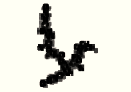 CO[C@@H](C)C(=O)N1CC[C@H](Oc2ccc(-c3nc(COCC(=O)N4CC[C@H](Oc5ccc(-c6ncnc(Nc7ccc(N8CCN(C9COC9)CC8)cc7)n6)cc5C#N)[C@H](F)C4)nc(Nc4ccc(N5CCN(C6COC6)CC5)cc4)n3)cc2C#N)[C@H](F)C1